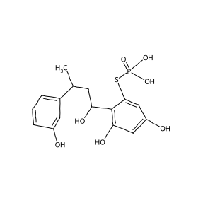 CC(CC(O)c1c(O)cc(O)cc1SP(=O)(O)O)c1cccc(O)c1